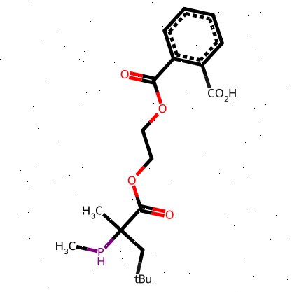 CPC(C)(CC(C)(C)C)C(=O)OCCOC(=O)c1ccccc1C(=O)O